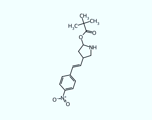 CC(C)(C)C(=O)OC1CC(/C=C/c2ccc([N+](=O)[O-])cc2)CN1